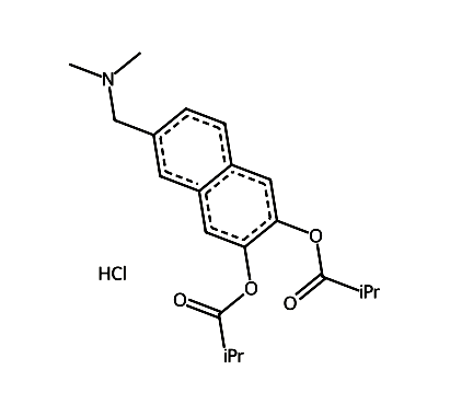 CC(C)C(=O)Oc1cc2ccc(CN(C)C)cc2cc1OC(=O)C(C)C.Cl